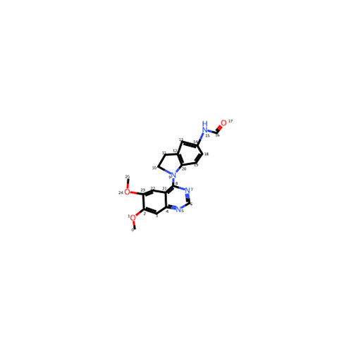 COc1cc2ncnc(N3CCc4cc(NC=O)ccc43)c2cc1OC